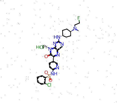 CC(C)n1c(=O)c(-c2ccc(NS(=O)(=O)c3ccccc3Cl)nc2)nc2cnc(N[C@H]3CC[C@H](N(C)CCF)CC3)nc21.Cl